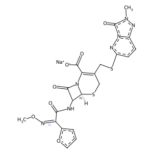 CO/N=C(\C(=O)NC1C(=O)N2C(C(=O)[O-])=C(CSc3ccc4nn(C)c(=O)n4n3)CS[C@@H]12)c1ccco1.[Na+]